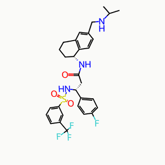 CC(C)NCc1ccc2c(c1)CCC[C@H]2NC(=O)C[C@@H](NS(=O)(=O)c1cccc(C(F)(F)F)c1)c1ccc(F)cc1